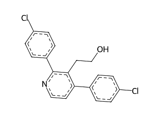 OCCc1c(-c2ccc(Cl)cc2)ccnc1-c1ccc(Cl)cc1